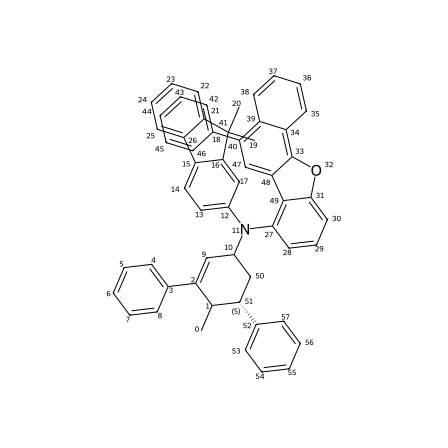 CC1C(c2ccccc2)=CC(N(c2ccc3c(c2)C(C)(C)c2ccccc2-3)c2cccc3oc4c5ccccc5c(-c5ccccc5)cc4c23)C[C@@H]1c1ccccc1